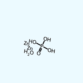 O.O=P(O)(O)O.[Zn].[Zn]